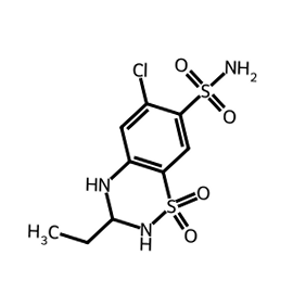 CCC1Nc2cc(Cl)c(S(N)(=O)=O)cc2S(=O)(=O)N1